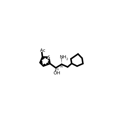 CC(=O)c1ccc([C@@H](O)[C@H](N)CC2CCCCC2)s1